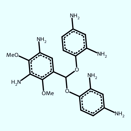 COc1c(N)cc(C(Oc2ccc(N)cc2N)Oc2ccc(N)cc2N)c(OC)c1N